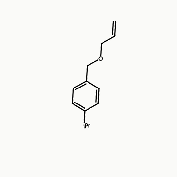 C=CCOCc1ccc(C(C)C)cc1